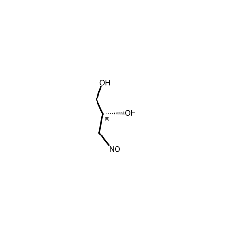 O=NC[C@@H](O)CO